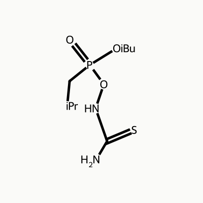 CC(C)COP(=O)(CC(C)C)ONC(N)=S